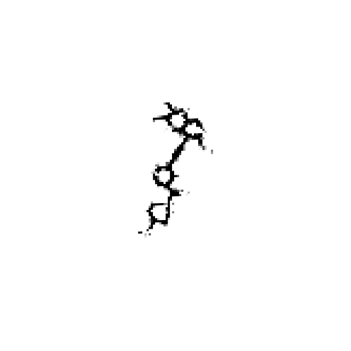 Cc1nc2cnc(N)c(C#Cc3cncc(C(=O)N4CCC(N)CC4)c3)c2nc1C